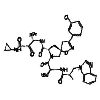 CCC[C@H](NC(=O)[C@@H]1C[C@]2(CC(c3cccc(Cl)c3)=NO2)CN1C(=O)[C@@H](NC(=O)C(C)Cn1cnc2ccccc21)C(C)(C)C)C(=O)C(=O)NC1CC1